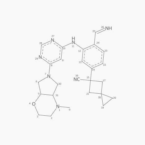 CN1CCOC2CN(c3cc(Nc4cc(C5(C#N)CC6(CC6)C5)ccc4C=N)ncn3)CC21